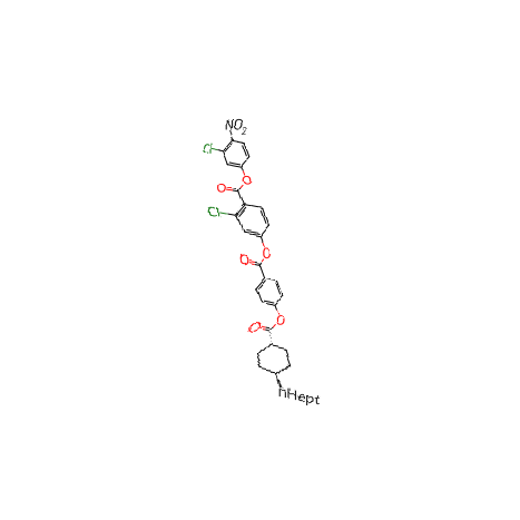 CCCCCCC[C@H]1CC[C@H](C(=O)Oc2ccc(C(=O)Oc3ccc(C(=O)Oc4ccc([N+](=O)[O-])c(Cl)c4)c(Cl)c3)cc2)CC1